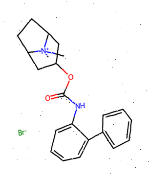 C[N+]1(C)C2CCC1CC(OC(=O)Nc1ccccc1-c1ccccc1)C2.[Br-]